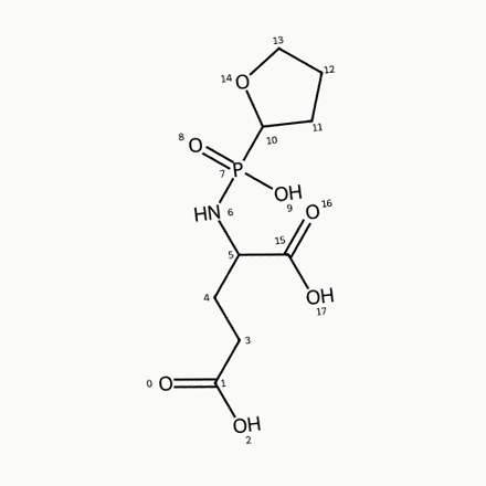 O=C(O)CCC(NP(=O)(O)C1CCCO1)C(=O)O